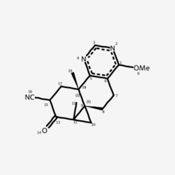 COc1ncnc2c1CC[C@@]13CC1(C)C(=O)C(C#N)C[C@]23C